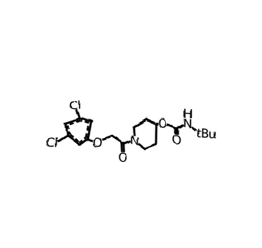 CC(C)(C)NC(=O)OC1CCN(C(=O)COc2cc(Cl)cc(Cl)c2)CC1